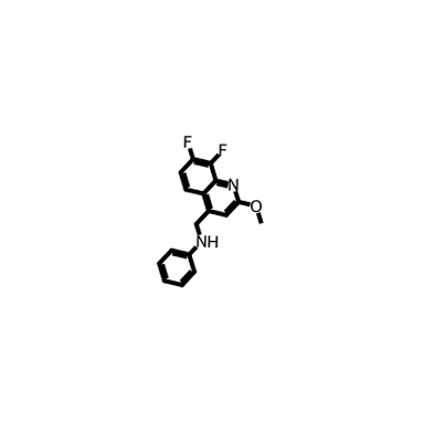 COc1cc(CNc2ccccc2)c2ccc(F)c(F)c2n1